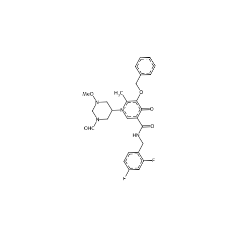 CON1CC(n2cc(C(=O)NCc3ccc(F)cc3F)c(=O)c(OCc3ccccc3)c2C)CN(C=O)C1